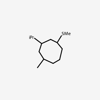 CSC1CCCC(C)CC(C(C)C)C1